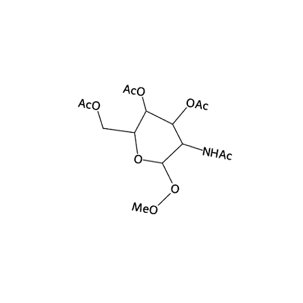 COOC1OC(COC(C)=O)C(OC(C)=O)C(OC(C)=O)C1NC(C)=O